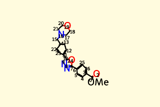 COC(=O)c1ccc(-c2nnc(C3=CCC(CN4CCOCC4)C=C3)o2)cc1